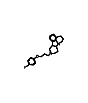 Fc1ccc(OCCCN2CCC3C(C2)c2cccc4c2N3CCC4)cc1